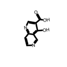 O=C(O)c1cnc2ccncc2c1O